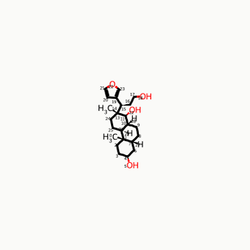 C[C@]12CC[C@H](O)C[C@H]1CC[C@H]1[C@H](O)[C@@](C)([C@H](CCO)c3ccoc3)CC[C@@H]12